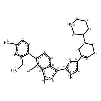 CCc1cc(O)ccc1-c1ccc2c(-c3nc(C4=CCCN(C5CCCNC5)C4)c[nH]3)n[nH]c2c1F